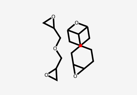 C(OCC1CO1)C1CO1.C1CC2OC(C1)C2C1CCC2OC2C1